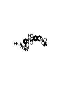 COc1cc2c(cc1C(=O)Nc1cccc(-c3nncn3[C@H](C)CO)n1)CN(C(=O)OC(C)(C)C)CC2